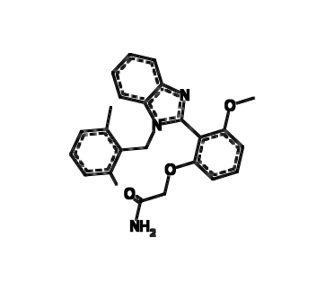 COc1cccc(OCC(N)=O)c1-c1nc2ccccc2n1Cc1c(C)cccc1C